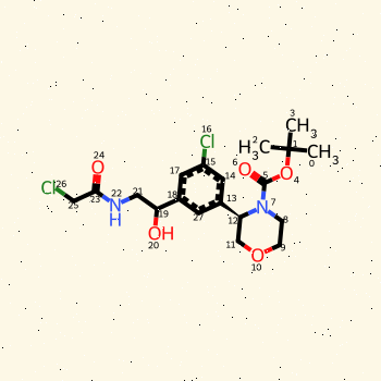 CC(C)(C)OC(=O)N1CCOC[C@H]1c1cc(Cl)cc(C(O)CNC(=O)CCl)c1